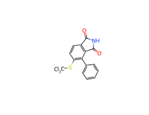 O=C1NC(=O)c2c1ccc(SC(Cl)(Cl)Cl)c2-c1ccccc1